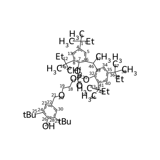 CCC(C)(C)c1cc2c(c(C(C)(C)CC)c1)OP(=O)(OCCOCc1cc(C(C)(C)C)c(O)c(C(C)(C)C)c1)Oc1c(cc(C(C)(C)CC)cc1C(C)(C)CC)C2C